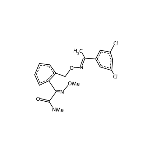 CNC(=O)/C(=N/OC)c1ccccc1CO/N=C(\C)c1cc(Cl)cc(Cl)c1